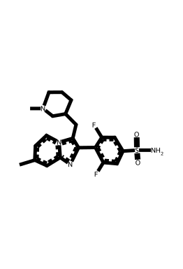 Cc1ccn2c(CC3CCCN(C)C3)c(-c3c(F)cc(S(N)(=O)=O)cc3F)nc2c1